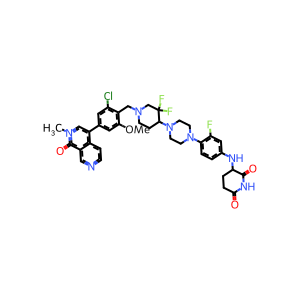 COc1cc(-c2cn(C)c(=O)c3cnccc23)cc(Cl)c1CN1CCC(N2CCN(c3ccc(NC4CCC(=O)NC4=O)cc3F)CC2)C(F)(F)C1